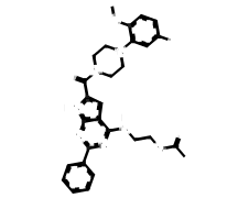 COc1ccc(Cl)cc1N1CCN(C(=O)c2cc3c(NCCNC(C)=O)nc(-c4ccccc4)nc3[nH]2)CC1